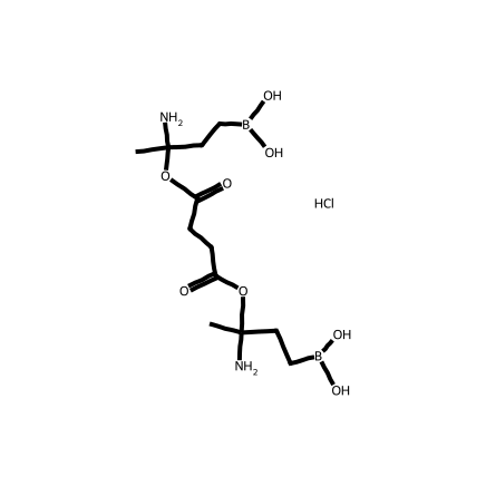 CC(N)(CCB(O)O)OC(=O)CCC(=O)OC(C)(N)CCB(O)O.Cl